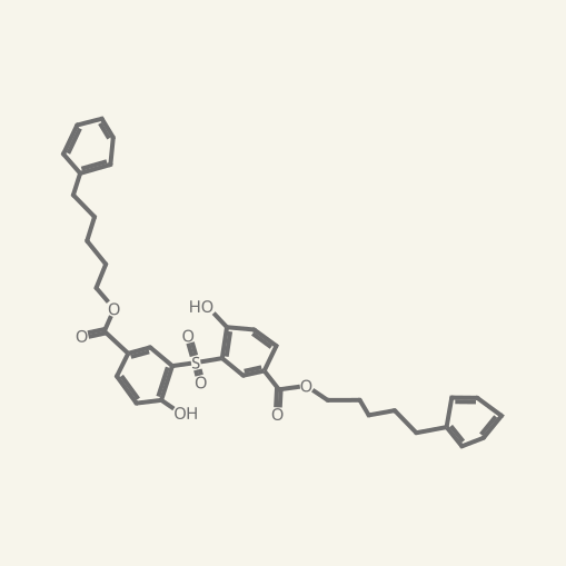 O=C(OCCCCCc1ccccc1)c1ccc(O)c(S(=O)(=O)c2cc(C(=O)OCCCCCc3ccccc3)ccc2O)c1